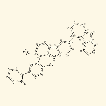 CCc1ccc(-c2ccccn2)cc1-c1c(C)ccc2c1oc1ccc(-c3cccc4oc5ccccc5c34)cc12